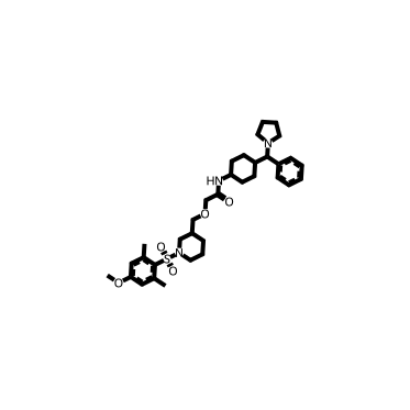 COc1cc(C)c(S(=O)(=O)N2CCCC(COCC(=O)NC3CCC(C(c4ccccc4)N4CCCC4)CC3)C2)c(C)c1